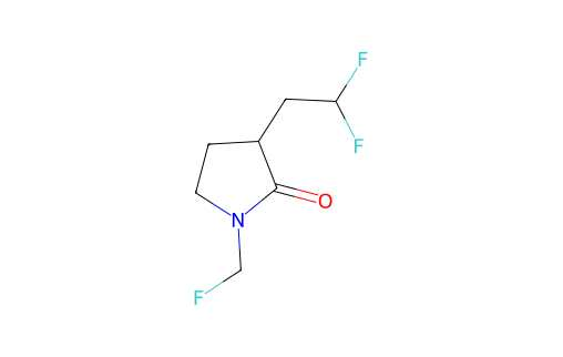 O=C1C(CC(F)F)CCN1CF